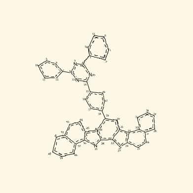 c1ccc(-c2nc(-c3ccccc3)nc(-c3ccc(-c4cc5c(sc6ccc7ccccc7c65)c5nc6c7ccccc7ccc6n45)cc3)n2)cc1